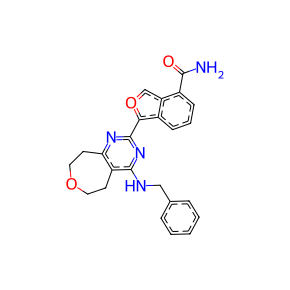 NC(=O)c1cccc2c(-c3nc4c(c(NCc5ccccc5)n3)CCOCC4)occ12